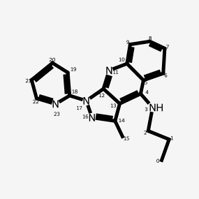 CCCNc1c2ccccc2nc2c1c(C)nn2-c1ccccn1